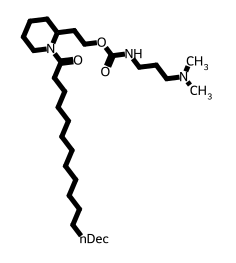 CCCCCCCCCCCCCCCCCCCCCC(=O)N1CCCCC1CCOC(=O)NCCCN(C)C